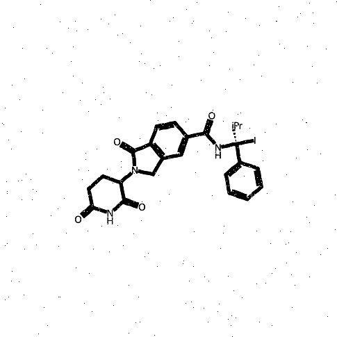 CC(C)[C@@](I)(NC(=O)c1ccc2c(c1)CN(C1CCC(=O)NC1=O)C2=O)c1ccccc1